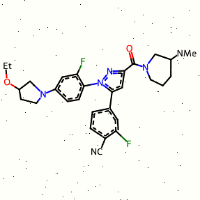 CCOC1CCN(c2ccc(-n3nc(C(=O)N4CCCC(NC)C4)cc3-c3ccc(C#N)c(F)c3)c(F)c2)C1